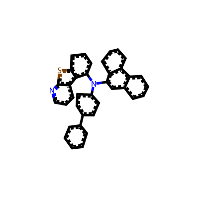 c1ccc(-c2ccc(N(c3cc4ccccc4c4ccccc34)c3cccc4sc5ncccc5c34)cc2)cc1